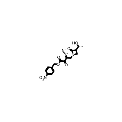 C[C@@H](O)C1CN(CC(=[N+]=[N-])C(=O)C(=O)OCc2ccc([N+](=O)[O-])cc2)C1=O